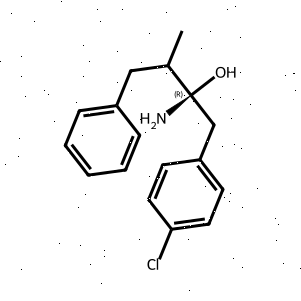 CC(Cc1ccccc1)[C@](N)(O)Cc1ccc(Cl)cc1